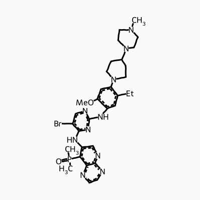 CCc1cc(Nc2ncc(Br)c(Nc3cnc4nccnc4c3P(C)(C)=O)n2)c(OC)cc1N1CCC(N2CCN(C)CC2)CC1